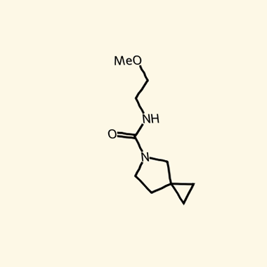 COCCNC(=O)N1CCC2(CC2)C1